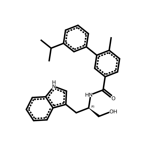 Cc1ccc(C(=O)N[C@@H](CO)Cc2c[nH]c3ccccc23)cc1-c1cccc(C(C)C)c1